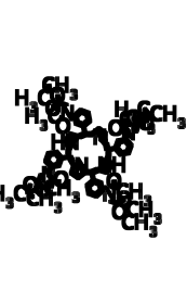 CC(=O)N(CC(=O)OC(C)C)c1cccc(-c2c3nc(c(-c4cccc(N(CC(=O)OC(C)C)C(C)=O)c4)c4ccc([nH]4)c(-c4cccc(N(CC(=O)OC(C)C)C(C)=O)c4)c4nc(c(-c5cccc(N(CC(=O)OC(C)C)C(C)=O)c5)c5ccc2[nH]5)C=C4)C=C3)c1